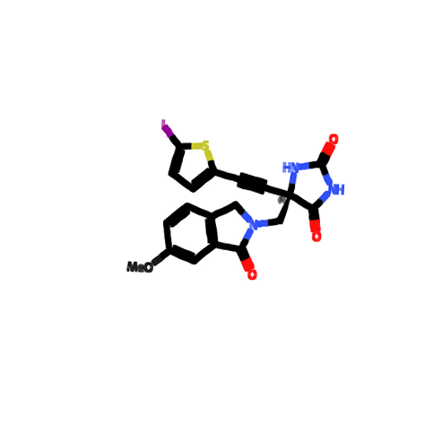 COc1ccc2c(c1)C(=O)N(C[C@@]1(C#Cc3ccc(I)s3)NC(=O)NC1=O)C2